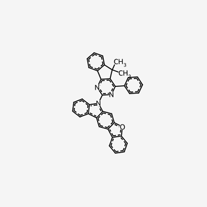 CC1(C)c2ccccc2-c2nc(-n3c4ccccc4c4cc5c(cc43)oc3ccccc35)nc(-c3ccccc3)c21